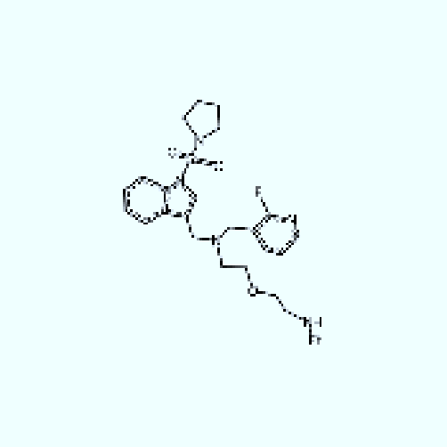 CCNCCOCCN(Cc1cccnc1F)Cc1cn(S(=O)(=O)N2CCCC2)c2ccccc12